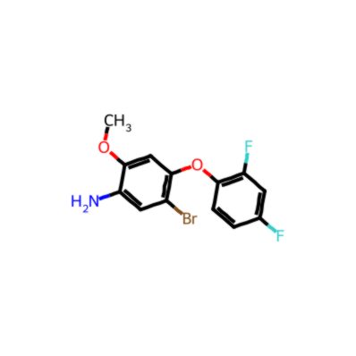 COc1cc(Oc2ccc(F)cc2F)c(Br)cc1N